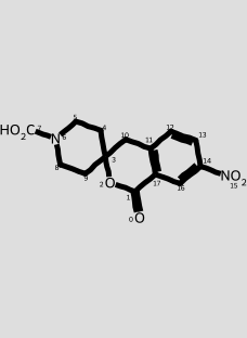 O=C1OC2(CCN(C(=O)O)CC2)Cc2ccc([N+](=O)[O-])cc21